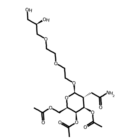 CC(=O)OC[C@H]1O[C@@H](OCCOCCOC[C@H](O)CO)[C@H](CC(N)=O)[C@@H](OC(C)=O)[C@H]1OC(C)=O